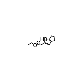 CCOOCC1=CC2=C(B1)CC=C2